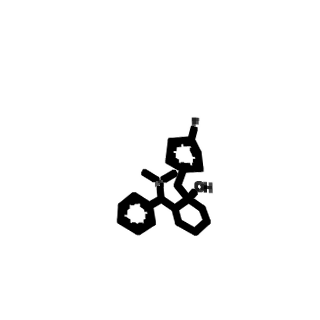 CN(C)C(c1ccccc1)C1CCCCC1(O)Cc1ccc(F)cc1